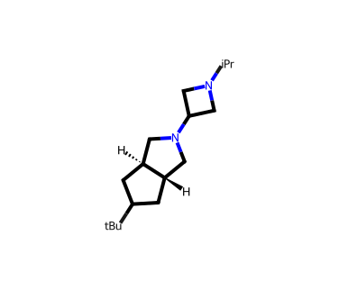 CC(C)N1CC(N2C[C@@H]3CC(C(C)(C)C)C[C@H]3C2)C1